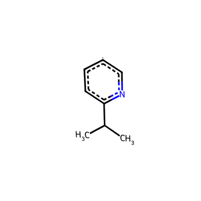 CC(C)c1cc[c]cn1